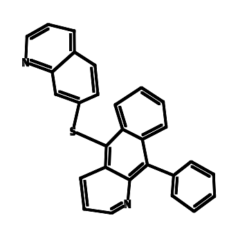 c1ccc(-c2c3ccccc3c(Sc3ccc4cccnc4c3)c3cccnc23)cc1